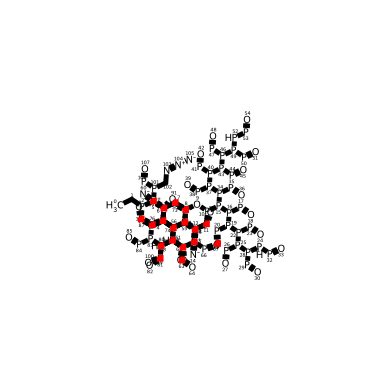 CCP(P=O)N(CCN(OP(CN=[N+]=[N-])P(P(P=O)P(P=O)P(P=O)P(P=O)P(P=O)PP=O)P(P=O)P(P=O)P(P=O)P(P=O)P(P=O)P(P=O)PP=O)OP(CN=[N+]=[N-])P(P(P=O)P(P=O)P(P=O)P(P=O)P(P=O)PP=O)P(P=O)P(P=O)P(P=O)P(P=O)P(P=O)P(P=O)PP=O)P(CN=[N+]=[N-])P=O